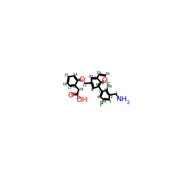 NCc1cc(F)cc(-c2cc(COc3ccccc3CC(=O)O)cc3ccoc23)c1F